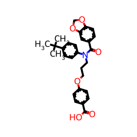 CC(C)(C)c1ccc(N(CCCOc2ccc(C(=O)O)cc2)C(=O)c2ccc3c(c2)OCO3)cc1